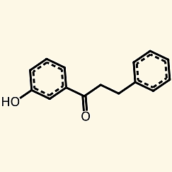 O=C(CCc1ccccc1)c1cccc(O)c1